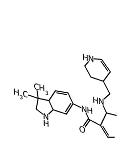 CC1(C)CNC2C=C(NC(=O)C3=CCCNC3NCC3C=CNCC3)C=CC21